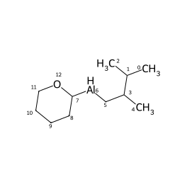 CC(C)C(C)[CH2][AlH][CH]1CCCCO1